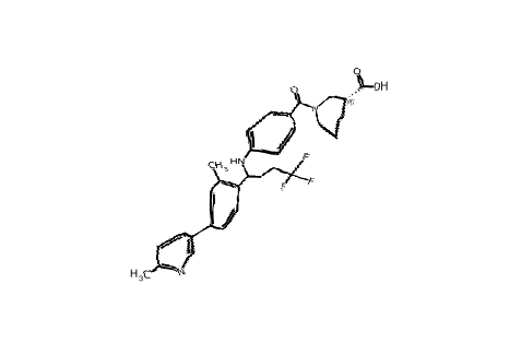 Cc1ccc(-c2ccc(C(CCC(F)(F)F)Nc3ccc(C(=O)N4CCC[C@@H](C(=O)O)C4)cc3)c(C)c2)cn1